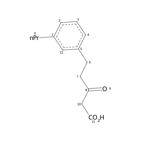 CCCc1cccc(CCC(=O)CC(=O)O)c1